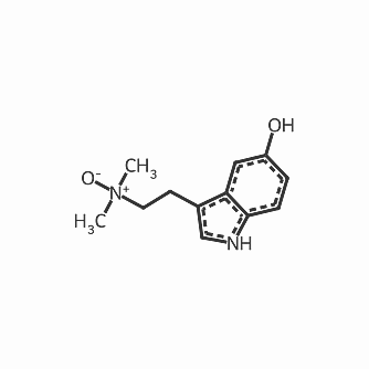 C[N+](C)([O-])CCc1c[nH]c2ccc(O)cc12